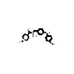 CC(=O)N1CCC(C(=O)N(O)Cc2ccc(Nc3ccc(C(C)(C)C)cc3)cc2)CC1